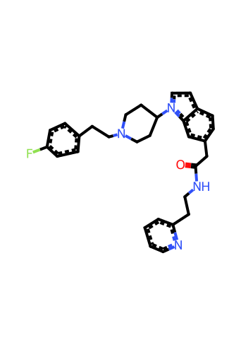 O=C(Cc1ccc2ccn(C3CCN(CCc4ccc(F)cc4)CC3)c2c1)NCCc1ccccn1